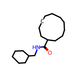 O=C(NCC1CCCCC1)C1CCCCCCCCCC1